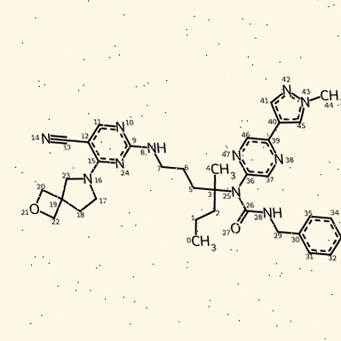 CCCC(C)(CCCNc1ncc(C#N)c(N2CCC3(COC3)C2)n1)N(C(=O)NCc1ccccc1)c1cnc(-c2cnn(C)c2)cn1